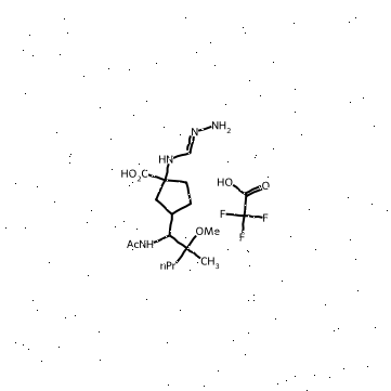 CCCC(C)(OC)C(NC(C)=O)C1CCC(NC=NN)(C(=O)O)C1.O=C(O)C(F)(F)F